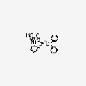 CC1(N=[N+]=[N-])c2ccccc2OC(=O)C1CC(=O)O.O=C(c1ccccc1)c1ccccc1